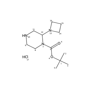 CC(C)(C)OC(=O)N1CCNCC1N1CCC1.Cl